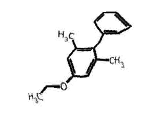 CCOc1cc(C)c(-c2ccccc2)c(C)c1